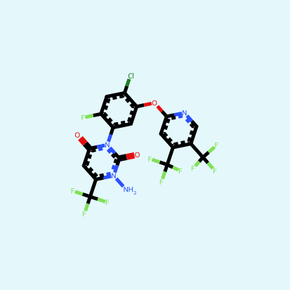 Nn1c(C(F)(F)F)cc(=O)n(-c2cc(Oc3cc(C(F)(F)F)c(C(F)(F)F)cn3)c(Cl)cc2F)c1=O